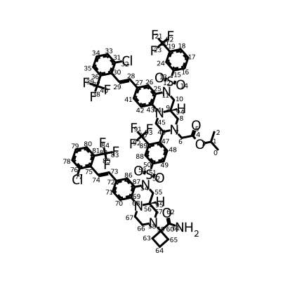 CC(C)OC(=O)CN1C[C@H]2CN(S(=O)(=O)c3cccc(C(F)(F)F)c3)c3cc(/C=C/c4c(Cl)cccc4C(F)(F)F)ccc3N2CC1c1ccc(S(=O)(=O)N2C[C@@H]3CN(C4(C(N)=O)CCC4)CCN3c3ccc(/C=C/c4c(Cl)cccc4C(F)(F)F)cc32)cc1C(F)(F)F